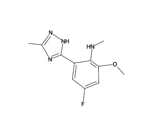 CNc1c(OC)cc(F)cc1-c1nc(C)n[nH]1